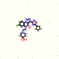 O=c1c2c(-c3noc(C4CCCC4)n3)ncn2c2ccc(F)cc2n1CCN1CCC(O)CC1